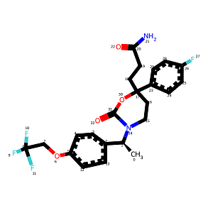 C[C@@H](c1ccc(OCC(F)(F)F)cc1)N1CCC(CCC(N)=O)(c2ccc(F)cc2)OC1=O